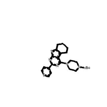 CCCCN1CCN(c2nc(-c3ccncc3)nc3sc4c(c23)CCCC4)CC1